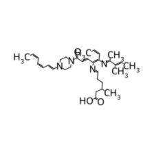 C\C=C/C=C\C=C\N1CCN(C(=O)/C=C/C(/N=C/CCC(C)CC(=O)O)=C(\C=C/C)/N=C(C)/C(C)=C/C)CC1